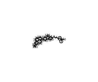 C=CC(=O)OCCCCc1ccc2c(c1)C(C)(C)c1cc(-c3ccc4ccc5cc(C(C)(C)C)cc6ccc3c4c56)ccc1-2